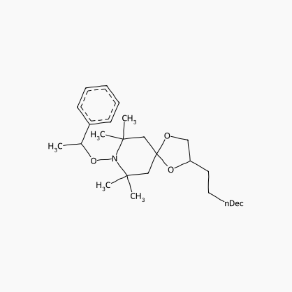 CCCCCCCCCCCCC1COC2(CC(C)(C)N(OC(C)c3ccccc3)C(C)(C)C2)O1